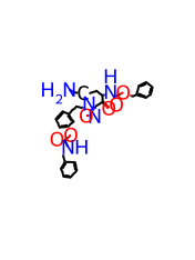 NCCCCC(NC(=O)OCc1ccccc1)C(=O)c1noc(Cc2cccc(OC(=O)NCc3ccccc3)c2)n1